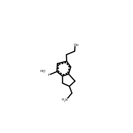 Cl.NCC1Cc2cc(CCO)cc(F)c2C1